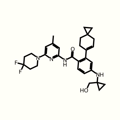 Cc1cc(NC(=O)c2ccc(NC3(CO)CC3)cc2C2=CCC3(CC2)CC3)nc(N2CCC(F)(F)CC2)c1